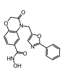 O=C(NO)c1ccc2c(c1)N(Cc1cnc(-c3ccccc3)o1)C(=O)CO2